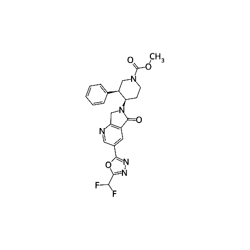 COC(=O)N1CC[C@@H](N2Cc3ncc(-c4nnc(C(F)F)o4)cc3C2=O)[C@@H](c2ccccc2)C1